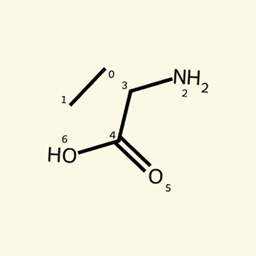 CC.NCC(=O)O